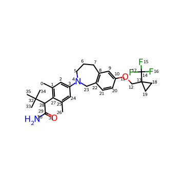 Cc1cc(N2CCCc3cc(OCC4(C(F)(F)F)CC4)ccc3C2)cc(C)c1C(C(N)=O)C(C)(C)C